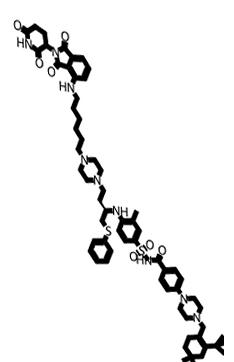 Cc1cc(S(=O)(=O)NC(=O)c2ccc(N3CCN(CC4=C(C56CC(C)(C5)C6)CC(C)(C)CC4)CC3)cc2)ccc1N[C@H](CCN1CCN(CCCCCCNc2cccc3c2C(=O)N(C2CCC(=O)NC2=O)C3=O)CC1)CSc1ccccc1